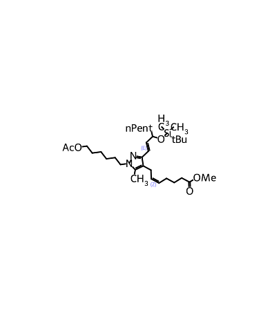 CCCCCC(/C=C/c1nn(CCCCCCOC(C)=O)c(C)c1C/C=C\CCCC(=O)OC)O[Si](C)(C)C(C)(C)C